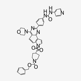 O=C(Nc1ccncc1)Nc1ccc(-c2nc(N3CCOCC3)c3ccc4c(ccn4S(=O)(=O)C4CCN(C(=O)OCc5ccccc5)CC4)c3n2)cc1